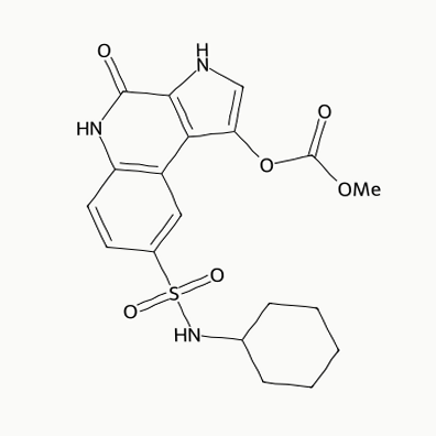 COC(=O)Oc1c[nH]c2c(=O)[nH]c3ccc(S(=O)(=O)NC4CCCCC4)cc3c12